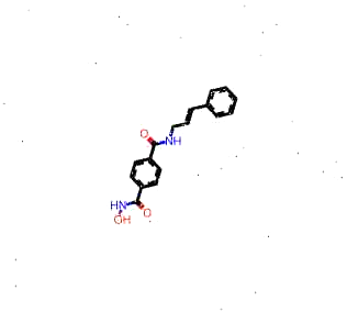 O=C(NO)c1ccc(C(=O)NC/C=C/c2ccccc2)cc1